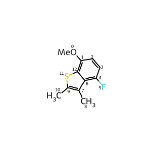 COc1ccc(F)c2c(C)c(C)sc12